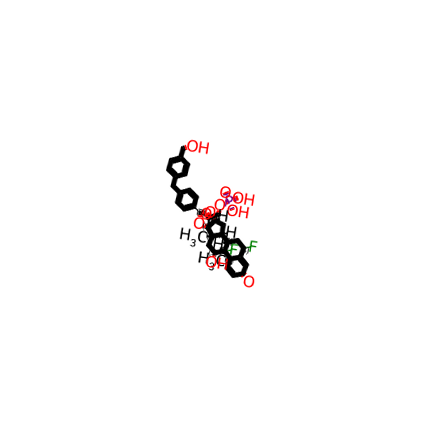 C[C@]12C=CC(=O)C=C1[C@@H](F)C[C@H]1[C@@H]3C[C@H]4O[C@@H](c5ccc(Cc6ccc(CO)cc6)cc5)O[C@@]4(C(=O)COP(=O)(O)O)[C@@]3(C)C[C@H](O)[C@@]12F